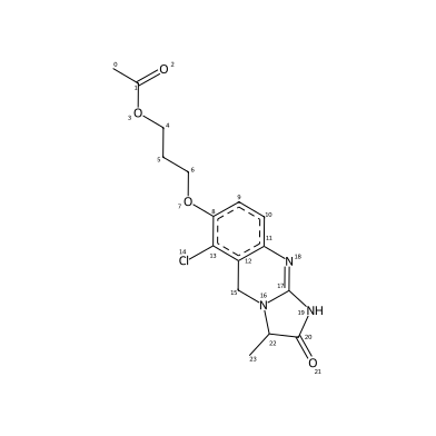 CC(=O)OCCCOc1ccc2c(c1Cl)CN1C(=N2)NC(=O)C1C